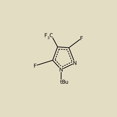 CC(C)(C)n1nc(F)c(C(F)(F)F)c1F